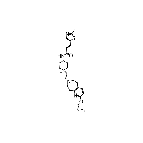 Cc1ncc(/C=C/C(=O)N[C@H]2CC[C@](F)(CCN3CCc4ccc(OCC(F)(F)F)nc4CC3)CC2)s1